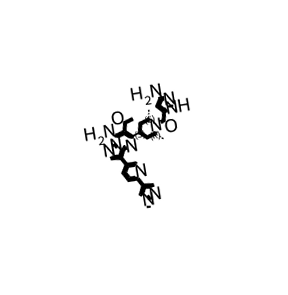 CC(=O)c1c([C@@H]2C[C@@H](C)N(C(=O)c3cc(N)n[nH]3)[C@@H](C)C2)nc2c(-c3ccc(-c4cnn(C)c4)nc3)cnn2c1N